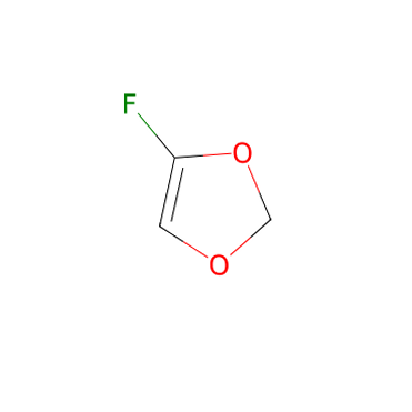 FC1=COCO1